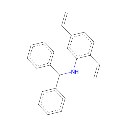 C=Cc1ccc(C=C)c(NC(c2ccccc2)c2ccccc2)c1